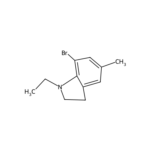 CCN1CCc2cc(C)cc(Br)c21